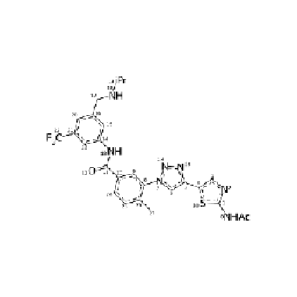 CC(=O)Nc1ncc(-c2cn(-c3cc(C(=O)Nc4cc(CNC(C)C)cc(C(F)(F)F)c4)ccc3C)nn2)s1